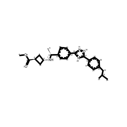 COC(=O)[C@H]1C[C@H](N[C@H](C)c2ccc(-c3noc(-c4ccc(CC(C)C)cc4)n3)cc2)C1